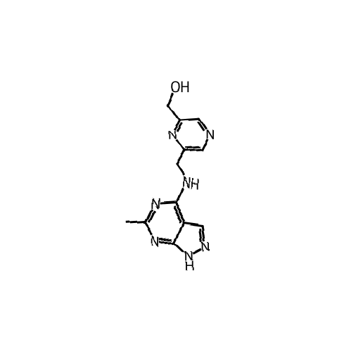 Cc1nc(NCc2cncc(CO)n2)c2cn[nH]c2n1